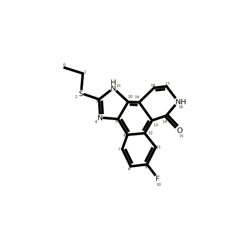 CCSc1nc2c3ccc(F)cc3c3c(=O)[nH]ccc3c2[nH]1